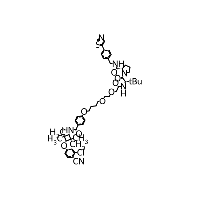 CC(C)(C)[C@H](NC(=O)COCCOCCCCOc1ccc(C(=O)N[C@H]2C(C)(C)[C@H](Oc3ccc(C#N)c(Cl)c3)C2(C)C)cc1)C(=O)N1CCC[C@H]1C(=O)NCc1ccc(-c2cncs2)cc1